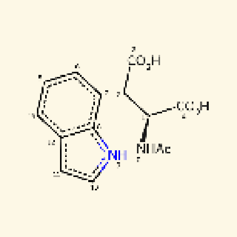 CC(=O)N[C@@H](CC(=O)O)C(=O)O.c1ccc2[nH]ccc2c1